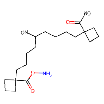 NOC(=O)C1(CCCCC(CCCCC2(C(=O)N=O)CCC2)N=O)CCC1